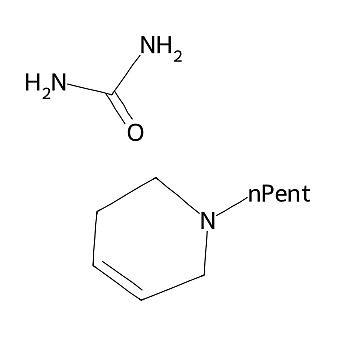 CCCCCN1CC=CCC1.NC(N)=O